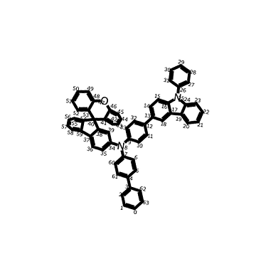 c1ccc(-c2ccc(N(c3ccc(-c4ccc5c(c4)c4ccccc4n5-c4ccccc4)cc3)c3ccc4c(c3)C3(c5ccccc5Oc5ccccc53)c3ccccc3-4)cc2)cc1